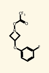 O=C(ON1CC(Oc2cccc(F)c2)C1)C(F)(F)F